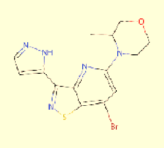 CC1COCCN1c1cc(Br)c2snc(-c3ccn[nH]3)c2n1